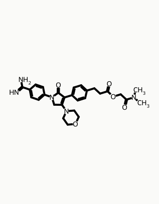 CN(C)C(=O)COC(=O)CCc1ccc(C2=C(N3CCOCC3)CN(c3ccc(C(=N)N)cc3)C2=O)cc1